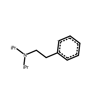 CC(C)N(CCc1[c]cccc1)C(C)C